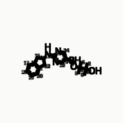 CC(C)(O)C(C)(C)OBc1cnc(NC2Cc3ccccc3C2)nc1